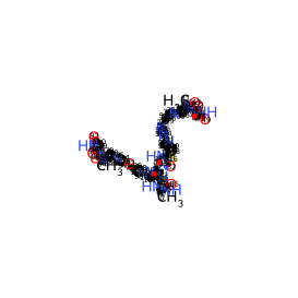 C[C@@H]1CNc2c(sc3cc(C[C@@H]4CNc5c(sc6ccc7nc(N8CCN(C[C@H]9C[C@]%10(CCN(c%11ccc%12c(c%11)n(C)c(=O)n%12C%11CCC(=O)NC%11=O)C%10)C9)CC8)ccc7c56)C(=O)N4)c4nc(N5CCC(COC6CCN(c7ccc8c(c7)n(C)c(=O)n8C7CCC(=O)NC7=O)CC6)CC5)ccc4c23)C(=O)N1